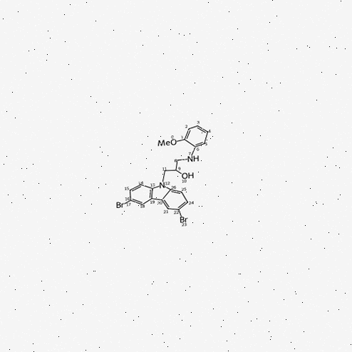 COc1ccccc1NCC(O)Cn1c2ccc(Br)cc2c2cc(Br)ccc21